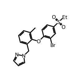 CCS(=O)(=O)c1ccc(Oc2c(C)cccc2Cn2cccn2)c(Br)c1